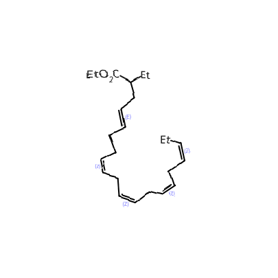 CC/C=C\C/C=C\C/C=C\C/C=C\CC/C=C/CC(CC)C(=O)OCC